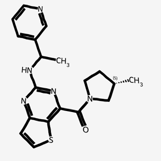 CC(Nc1nc(C(=O)N2CC[C@H](C)C2)c2sccc2n1)c1cccnc1